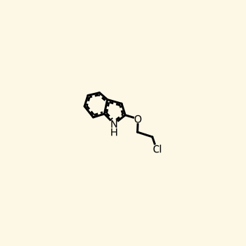 ClCCOc1cc2ccccc2[nH]1